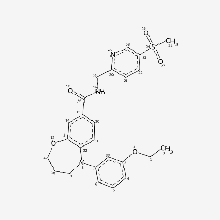 CCOc1cccc(N2CCCOc3cc(C(=O)NCc4ccc(S(C)(=O)=O)cn4)ccc32)c1